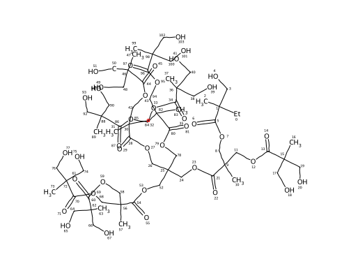 CCC(C)(CO)C(=O)OCC(C)(COC(=O)C(C)(CO)CO)C(=O)OCC(COC(=O)C(C)(COC(=O)C(C)(CO)CO)COC(=O)C(C)(CO)CO)(COC(=O)C(C)(COC(=O)C(C)(CO)CO)COC(=O)C(C)(CO)CO)COC(=O)C(C)(COC(=O)C(C)(CO)CO)COC(=O)C(C)(CO)CO